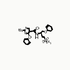 CC(C)(C)c1ncc(C(=O)NC(C=CS(C)(=O)=O)COc2ccccc2)c(Oc2ccccc2)n1